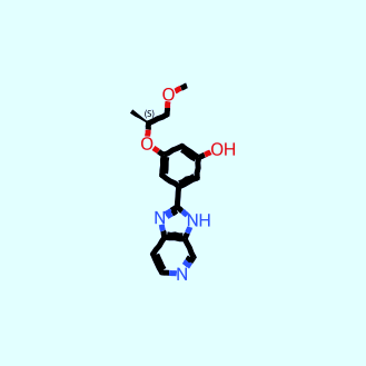 COC[C@H](C)Oc1cc(O)cc(-c2nc3ccncc3[nH]2)c1